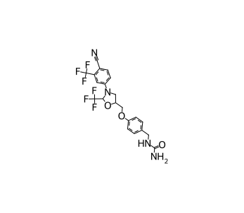 N#Cc1ccc(N2CC(COc3ccc(CNC(N)=O)cc3)OC2C(F)(F)F)cc1C(F)(F)F